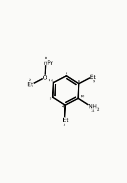 CCCOCC.CCc1cccc(CC)c1N